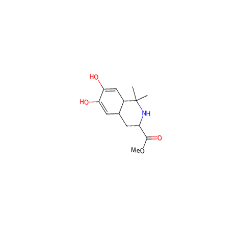 COC(=O)C1CC2C=C(O)C(O)=CC2C(C)(C)N1